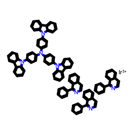 [Ir+3].c1ccc(-c2nccc3ccccc23)cc1.c1ccc(-c2nccc3ccccc23)cc1.c1ccc(-c2nccc3ccccc23)cc1.c1ccc2c(c1)c1ccccc1n2-c1ccc(N(c2ccc(-n3c4ccccc4c4ccccc43)cc2)c2ccc(-n3c4ccccc4c4ccccc43)cc2)cc1